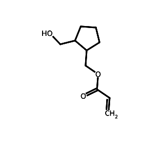 C=CC(=O)OCC1CCCC1CO